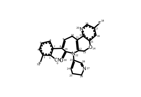 N#Cc1c(F)cccc1C1=CCC2=C(COc3cc(F)cnc32)N(C2=CCCN=C2)C1=O